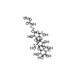 CC(C)(C)OC(=O)NCCO[C@@H]1O[C@@H](CO)[C@@H](O[C@@H]2OC(CO)[C@H](O[C@H]3CC(CO)[C@H](O)[C@H](O)C3O)[C@H](O)C2O)C(O)C1O